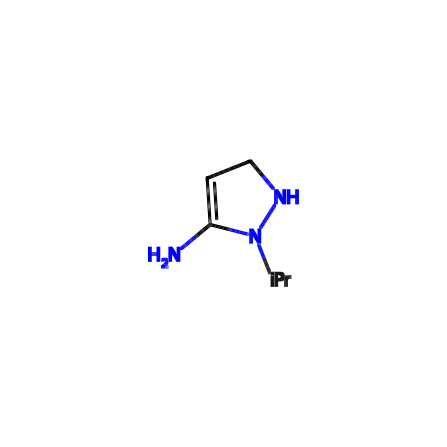 CC(C)N1NCC=C1N